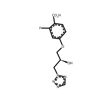 O=C(O)c1ccc(OC[C@@H](O)Cn2ncnn2)cc1F